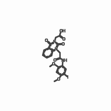 COc1cc(OC)c(NC(=O)Cn2c(=O)n(CC(=O)O)c(=O)c3ccccc32)cc1I